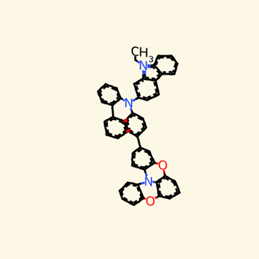 CCn1c2ccccc2c2ccc(N(c3ccc(-c4ccc5c(c4)Oc4cccc6c4N5c4ccccc4O6)cc3)c3ccccc3-c3ccccc3)cc21